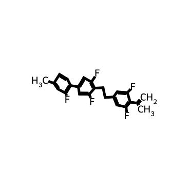 C=C(C)c1c(F)cc(CCc2c(F)cc(-c3ccc(C)cc3F)cc2F)cc1F